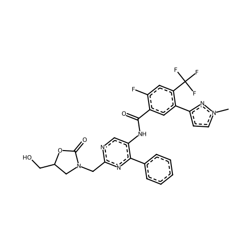 Cn1ccc(-c2cc(C(=O)Nc3cnc(CN4CC(CO)OC4=O)nc3-c3ccccc3)c(F)cc2C(F)(F)F)n1